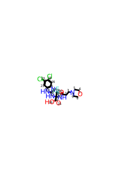 O=C(CCN1CCOCC1)NC(Nc1nc2cc(Cl)c(Cl)cc2[nH]1)(C(=O)O)C(F)(F)F